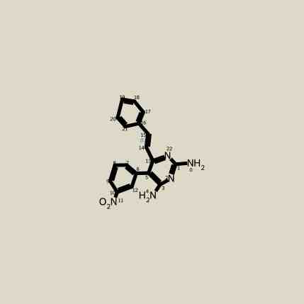 Nc1nc(N)c(-c2cccc([N+](=O)[O-])c2)c(/C=C/c2ccccc2)n1